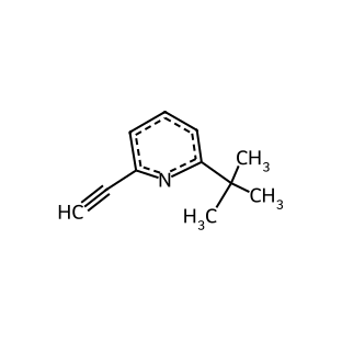 C#Cc1cccc(C(C)(C)C)n1